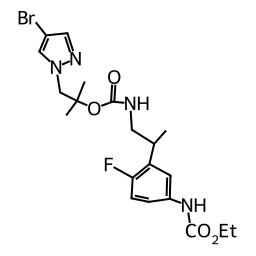 CCOC(=O)Nc1ccc(F)c(C(C)CNC(=O)OC(C)(C)Cn2cc(Br)cn2)c1